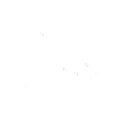 Cc1nc(S(C)(=O)=O)nc2c1cc(-c1ccncc1)c(=O)n2Cc1ccc(Cl)cc1